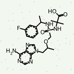 CC(Cn1cnc2c(N)ncnc21)OCP(=O)(NC(C)c1cccc(F)c1)NC(C)(C)C(=O)O